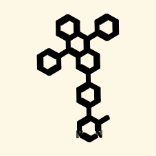 Cc1ncncc1-c1ccc(-c2ccc3c(-c4ccccc4)c4ccccc4c(-c4ccccc4)c3c2)cc1